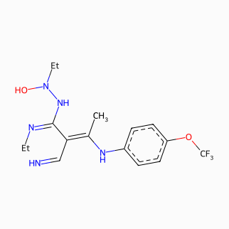 CC/N=C(NN(O)CC)\C(C=N)=C(/C)Nc1ccc(OC(F)(F)F)cc1